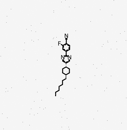 CCCCCCC[C@H]1CC[C@H](c2cnc(-c3ccc(C#N)c(F)c3)nc2)CC1